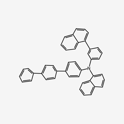 c1ccc(-c2ccc(-c3ccc(N(c4cccc(-c5cccc6ccccc56)c4)c4cccc5ccccc45)cc3)cc2)cc1